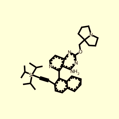 CC(C)[Si](C#Cc1ccc2ccccc2c1-c1nccc2nc(OCC34CCCN3CCC4)nc(N)c12)(C(C)C)C(C)C